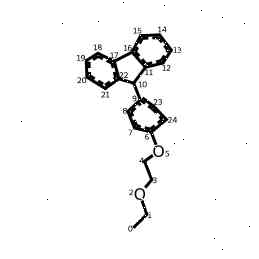 CCOCCOc1ccc(C2c3ccccc3-c3ccccc32)cc1